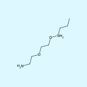 CCC[SiH2]OCCOCCN